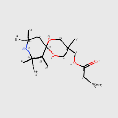 CCCCCCCCCCCC(=O)OCC1(C)COC2(CC(C)(CC)NC(C)(CC)C2C)OC1